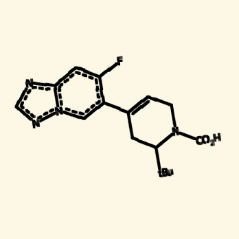 CC(C)(C)C1CC(c2cn3ncnc3cc2F)=CCN1C(=O)O